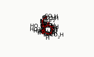 CC(C)C[C@@H]1NC(=O)/C(Cc2c[nH]cn2)=N\C(=O)[C@H]([C@H](C)c2c[nH]c3ccccc23)NC(=O)[C@H](C)NC(=O)[C@@H](NC(=O)[C@H](CC(=O)O)NC(=O)CCOCc2cn(CCCC[C@H](NC(=O)N[C@@H](CCC(=O)O)C(=O)O)C(=O)O)nn2)CSSC[C@@H](C(=O)N[C@H](C(=O)O)[C@@H](C)O)NC(=O)[C@H](Cc2c[nH]c3ccccc23)NC(=O)[C@H](C(C)C)NC(=O)[C@H](CC(C)C)NC(=O)[C@H](CCC(=O)O)NC(=O)CNC1=O